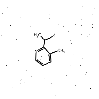 Cc1cccnc1C(C)I